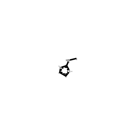 [CH2]Nc1nccs1